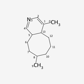 CC1=CN=CC2CCC(C)CCCC12